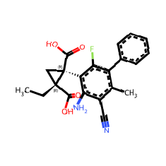 CC[C@@]1(C(=O)O)C[C@]1(C(=O)O)c1c(N)c(C#N)c(C)c(-c2ccccc2)c1F